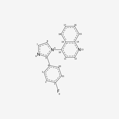 Fc1ccc(-c2nccn2-c2ccnc3ccccc23)cc1